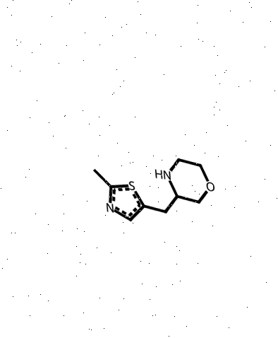 Cc1ncc(CC2COCCN2)s1